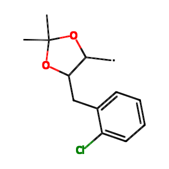 [CH2]C1OC(C)(C)OC1Cc1ccccc1Cl